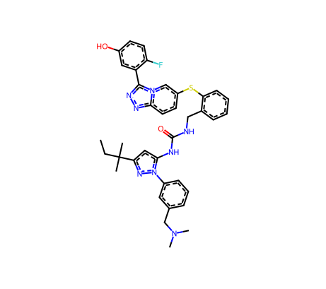 CCC(C)(C)c1cc(NC(=O)NCc2ccccc2Sc2ccc3nnc(-c4cc(O)ccc4F)n3c2)n(-c2cccc(CN(C)C)c2)n1